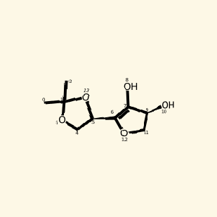 CC1(C)OC[C@H](C2=C(O)[C@@H](O)CO2)O1